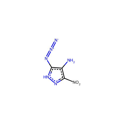 [N-]=[N+]=Nc1[nH]nc([N+](=O)[O-])c1N